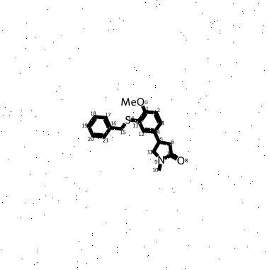 COc1ccc(C2CC(=O)N(C)C2)cc1SCc1ccccc1